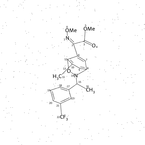 CON=C(C(=O)OC)c1cc2cc(C)c1ON2C(C)c1cccc(C(F)(F)F)c1